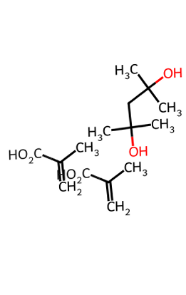 C=C(C)C(=O)O.C=C(C)C(=O)O.CC(C)(O)CC(C)(C)O